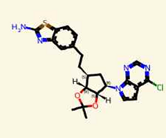 CC1(C)O[C@@H]2[C@@H](CCc3ccc4sc(N)nc4c3)C[C@@H](n3ccc4c(Cl)ncnc43)[C@@H]2O1